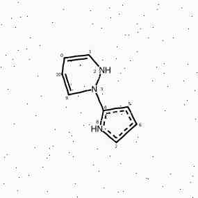 C1=CNN(c2ccc[nH]2)C=C1